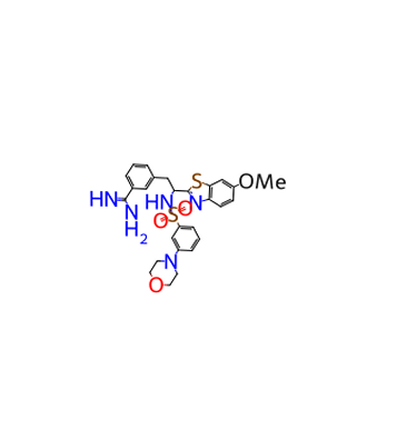 COc1ccc2nc(C(Cc3cccc(C(=N)N)c3)NS(=O)(=O)c3cccc(N4CCOCC4)c3)sc2c1